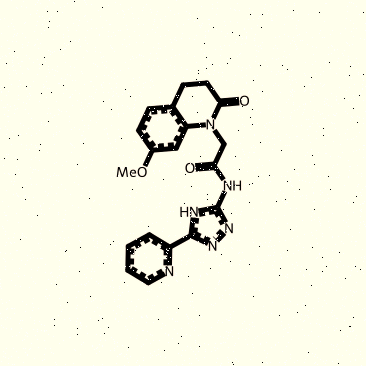 COc1ccc2c(c1)N(CC(=O)Nc1nnc(-c3ccccn3)[nH]1)C(=O)CC2